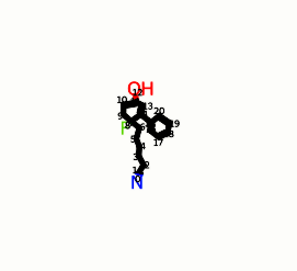 N#CCCCCCC1(F)CC=C(O)C=C1c1ccccc1